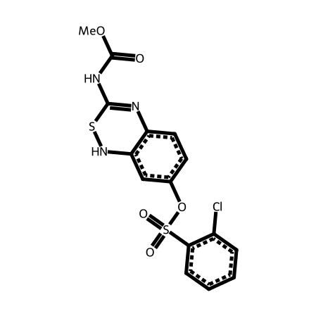 COC(=O)NC1=Nc2ccc(OS(=O)(=O)c3ccccc3Cl)cc2NS1